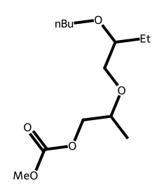 CCCCOC(CC)COC(C)COC(=O)OC